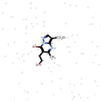 CCOC(=O)c1cnn2c(Br)c(CCBr)c(C)nc12